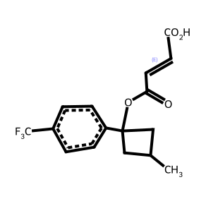 CC1CC(OC(=O)/C=C/C(=O)O)(c2ccc(C(F)(F)F)cc2)C1